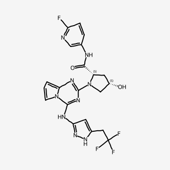 O=C(Nc1ccc(F)nc1)[C@@H]1C[C@H](O)CN1c1nc(Nc2cc(CC(F)(F)F)[nH]n2)n2cccc2n1